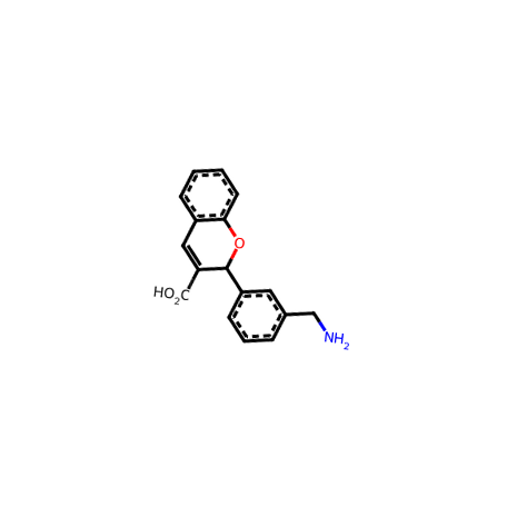 NCc1cccc(C2Oc3ccccc3C=C2C(=O)O)c1